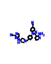 N#Cc1ccc2c(c1)nc(-c1cccnc1N)n2-c1ccc(CN2CCC(Nc3ccnc(C#N)n3)CC2)cc1